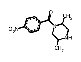 CC1CN(C(=O)c2ccc([N+](=O)[O-])cc2)C(C)CN1